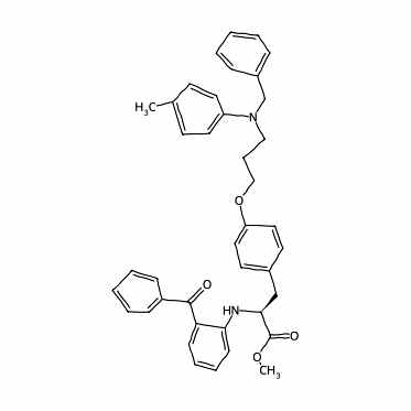 COC(=O)[C@H](Cc1ccc(OCCCN(Cc2ccccc2)c2ccc(C)cc2)cc1)Nc1ccccc1C(=O)c1ccccc1